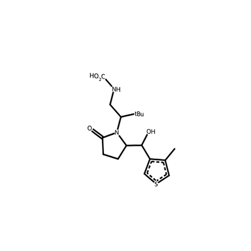 Cc1cscc1C(O)C1CCC(=O)N1C(CNC(=O)O)C(C)(C)C